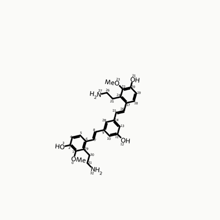 COc1c(O)ccc(/C=C/c2cc(O)cc(/C=C/c3ccc(O)c(OC)c3CCN)c2)c1CCN